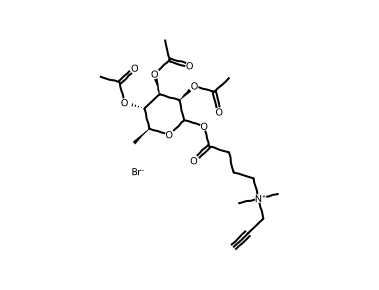 C#CC[N+](C)(C)CCCC(=O)OC1O[C@@H](C)[C@H](OC(C)=O)[C@@H](OC(C)=O)[C@H]1OC(C)=O.[Br-]